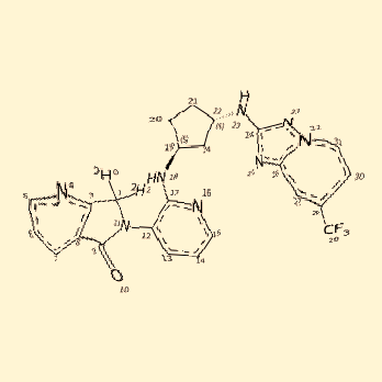 [2H]C1([2H])c2ncccc2C(=O)N1c1cccnc1N[C@H]1CC[C@H](Nc2nc3cc(C(F)(F)F)ccn3n2)C1